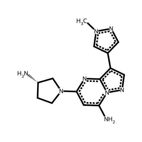 Cn1cc(-c2cnn3c(N)cc(N4CC[C@H](N)C4)nc23)cn1